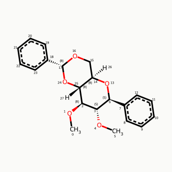 CO[C@@H]1[C@@H](OC)[C@H](c2ccccc2)O[C@@H]2CO[C@@H](c3ccccc3)O[C@@H]12